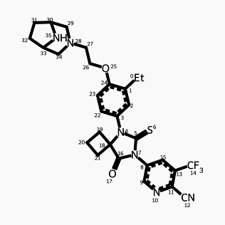 CCc1cc(N2C(=S)N(c3cnc(C#N)c(C(F)(F)F)c3)C(=O)C23CCC3)ccc1OCCN1CC2CCC(C1)N2